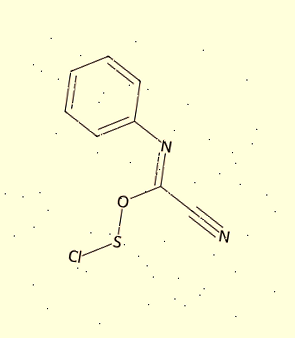 N#CC(=Nc1ccccc1)OSCl